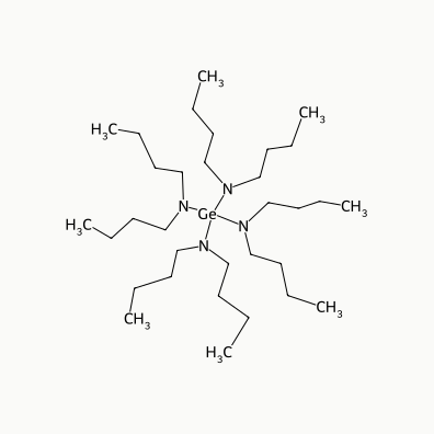 CCCC[N](CCCC)[Ge]([N](CCCC)CCCC)([N](CCCC)CCCC)[N](CCCC)CCCC